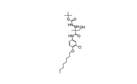 CCCCCCCCOc1ccc(NC(=O)C(C)(CO)NNC(=O)OC(C)(C)C)cc1Cl